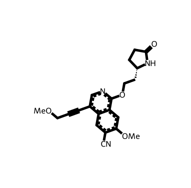 COCC#Cc1cnc(OCC[C@@H]2CCC(=O)N2)c2cc(OC)c(C#N)cc12